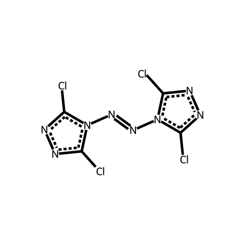 Clc1nnc(Cl)n1N=Nn1c(Cl)nnc1Cl